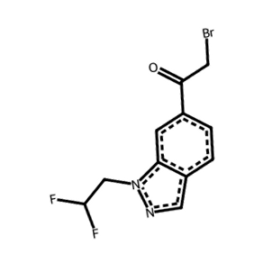 O=C(CBr)c1ccc2cnn(CC(F)F)c2c1